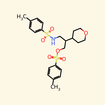 Cc1ccc(S(=O)(=O)NCC(COS(=O)(=O)c2ccc(C)cc2)C2CCOCC2)cc1